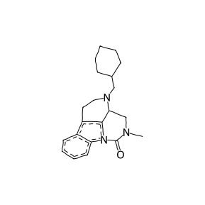 CN1CC2c3c(c4ccccc4n3C1=O)CCN2CC1CCCCC1